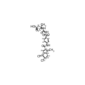 Cn1c(C(=O)Nc2ccc(S(=O)(=O)NC(=O)NC(C)(C)CC(=O)O)cc2)cc2c(Cl)c(Cl)ccc21